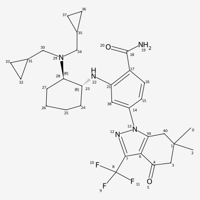 CC1(C)CC(=O)c2c(C(F)(F)F)nn(-c3ccc(C(N)=O)c(N[C@@H]4CCCC[C@H]4N(CC4CC4)CC4CC4)c3)c2C1